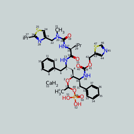 CC(O[C@@H](C[C@H](Cc1ccccc1)NC(=O)[C@@H](NC(=O)N(C)Cc1csc(C(C)C)n1)C(C)C)[C@H](Cc1ccccc1)NC(=O)OCc1cncs1)OP(=O)(O)O.[CaH2]